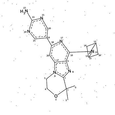 CC1(C)OCCn2c1nc1c(N3CC4CC3C4)nc(-c3cnc(N)nc3)cc12